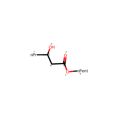 CCCCCOC(=O)CC(O)CCC